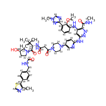 CNC(=O)c1nnc(Nc2ccc(N3CCN(C(=O)CC(=O)N[C@H](C(=O)N4C[C@H](O)C[C@H]4C(=O)NCc4ccc(-c5scnc5C)cc4)C(C)(C)C)CC3)cn2)cc1Nc1cccc(-c2ncn(C)n2)c1OC